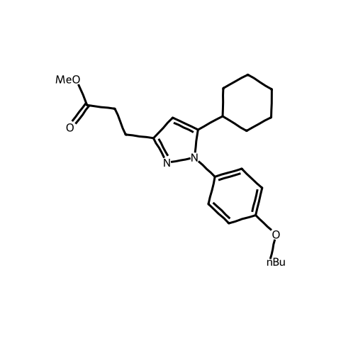 CCCCOc1ccc(-n2nc(CCC(=O)OC)cc2C2CCCCC2)cc1